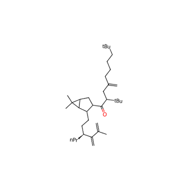 C=C(CCCCC(C)(C)C)CC(C(=O)C1CC2C(C1CC[C@H](CCC)C(=C)C(=C)C)C2(C)C)C(C)(C)C